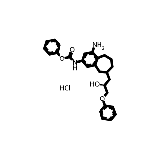 Cl.Nc1cc(NC(=O)Oc2ccccc2)cc2c1CCCC(C[C@H](O)COc1ccccc1)C2